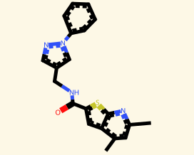 Cc1cc(C)c2cc(C(=O)NCc3cnn(-c4ccccc4)c3)sc2n1